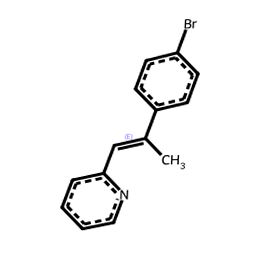 C/C(=C\c1ccccn1)c1ccc(Br)cc1